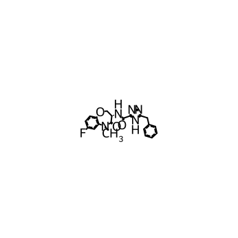 CN1C(=O)[C@@H](NC(=O)c2nnc(Cc3ccccc3)[nH]2)COc2ccc(F)cc21